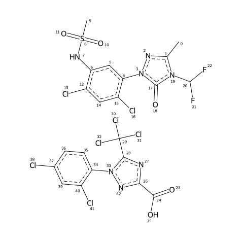 Cc1nn(-c2cc(NS(C)(=O)=O)c(Cl)cc2Cl)c(=O)n1C(F)F.O=C(O)c1nc(C(Cl)(Cl)Cl)n(-c2ccc(Cl)cc2Cl)n1